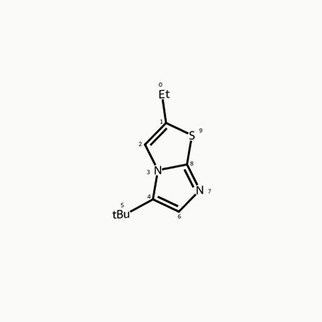 CCc1cn2c(C(C)(C)C)cnc2s1